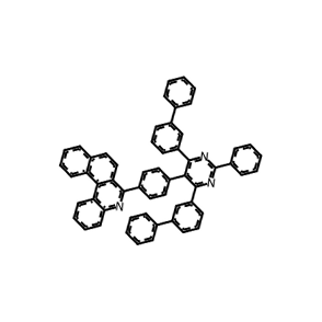 c1ccc(-c2cccc(-c3nc(-c4ccccc4)nc(-c4cccc(-c5ccccc5)c4)c3-c3ccc(-c4nc5ccccc5c5c4ccc4ccccc45)cc3)c2)cc1